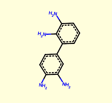 Nc1ccc(-c2cccc(N)c2N)cc1N